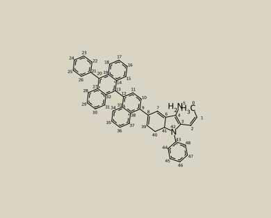 C/C=C\C1=C(N)C2=CC(c3ccc(-c4c5ccccc5c(-c5ccccc5)c5ccccc45)c4ccccc34)=CCC2N1c1ccccc1